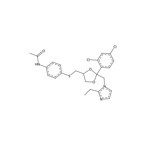 CCc1nccn1CC1(c2ccc(Cl)cc2Cl)OCC(CSc2ccc(NC(C)=O)cc2)O1